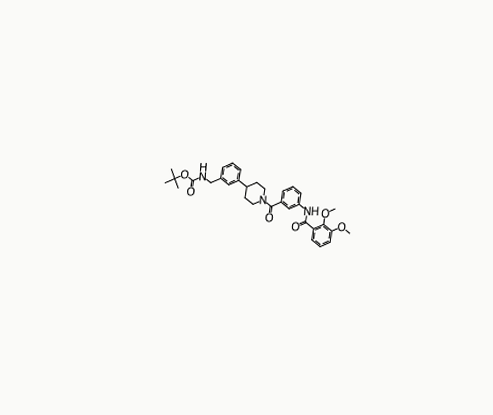 COc1cccc(C(=O)Nc2cccc(C(=O)N3CCC(c4cccc(CNC(=O)OC(C)(C)C)c4)CC3)c2)c1OC